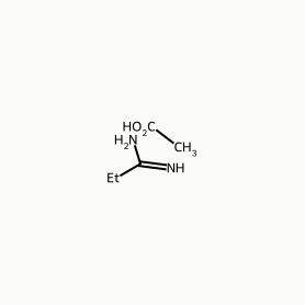 CC(=O)O.CCC(=N)N